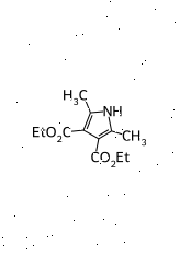 CCOC(=O)c1c(C)[nH]c(C)c1C(=O)OCC